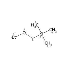 C[CH]OC[Si](C)(C)C